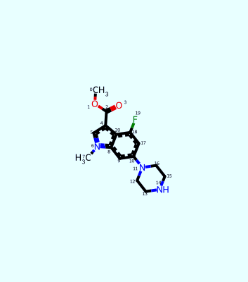 COC(=O)c1cn(C)c2cc(N3CCNCC3)cc(F)c12